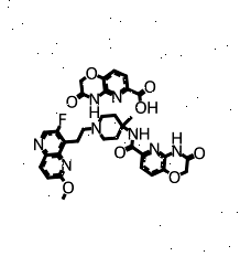 COc1ccc2ncc(F)c(CCN3CCC(C)(NC(=O)c4ccc5c(n4)NC(=O)CO5)CC3)c2n1.O=C1COc2ccc(C(=O)O)nc2N1